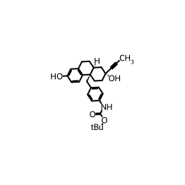 CC#C[C@@]1(O)CC[C@]2(Cc3ccc(NC(=O)OC(C)(C)C)cc3)c3ccc(O)cc3CC[C@H]2C1